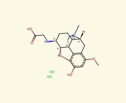 COc1cc(O)c2c3c1C[C@@H]1[C@@H]4CC[C@H](NCC(=O)O)[C@H](O2)[C@]34CCN1C.Cl.Cl